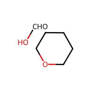 C1CCOCC1.O=CO